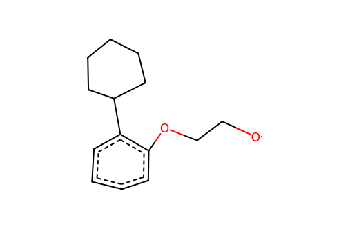 [O]CCOc1ccccc1C1CCCCC1